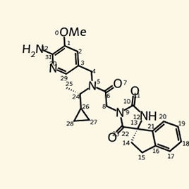 COc1cc(CN(C(=O)CN2C(=O)N[C@]3(CCc4ccccc43)C2=O)[C@@H](C)C2CC2)cnc1N